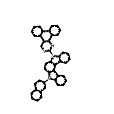 c1ccc2cc(-n3c4ccccc4c4c5c6ccccc6n(-c6ncc7c8ccccc8c8ccccc8c7n6)c5ccc43)ccc2c1